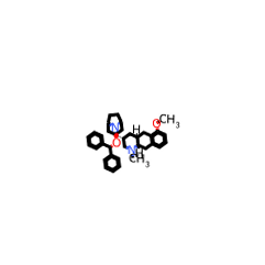 COc1cccc2c1C[C@@H]1C[C@@H](CN3C4CCC3CC(OC(c3ccccc3)c3ccccc3)C4)CN(C)[C@H]1C2